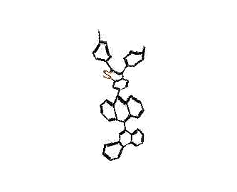 Cc1ccc(-c2sc3cc(-c4c5ccccc5c(-c5cc6ccccc6c6ccccc56)c5ccccc45)ccc3c2-c2ccc(C)cc2)cc1